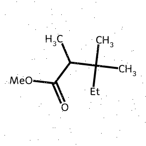 CCC(C)(C)C(C)C(=O)OC